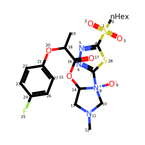 CCCCCCS(=O)(=O)c1nnc([N+]2([O-])CN(C)CC2OC(=O)C(C)Oc2ccc(F)cc2)s1